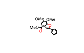 COC(=O)c1cc(OC)c(OC)c2oc(-c3ccccc3)cc12